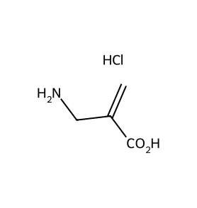 C=C(CN)C(=O)O.Cl